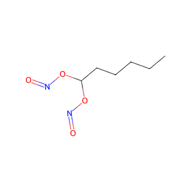 CCCCCC(ON=O)ON=O